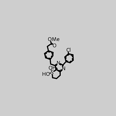 COC(=O)Cc1ccc(Cc2nc(-c3cccc(Cl)c3)nc3c2S(O)(O)CCC3)cc1